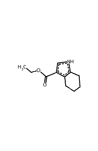 CCOC(=O)c1c[nH]c2c1CCCC2